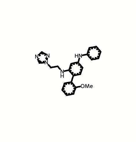 COc1ccccc1-c1ccc(Nc2ccccc2)cc1NCCn1cncn1